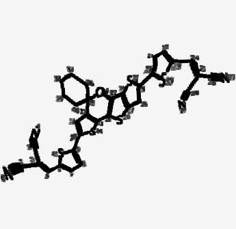 N#CC(C#N)=Cc1ccc(-c2cc3c(s2)-c2sc4cc(-c5ccc(C=C(C#N)C#N)s5)sc4c2OC32CCCCC2)s1